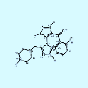 Cc1nn(C)c(-n2c(CN3CCN(C)CC3)nc(C)c2C)c1C(=O)c1ccccc1Cl